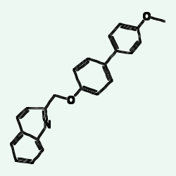 COc1ccc(-c2ccc(OCc3ccc4ccccc4n3)cc2)cc1